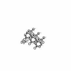 [Dy+3].[Dy+3].[O-]B1OB2OB([O-])OB(O1)O2.[O-]B1OB2OB([O-])OB(O1)O2.[O-]B1OB2OB([O-])OB(O1)O2